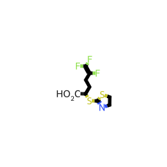 O=C(O)C(CCC(F)=C(F)F)SC1=NCCS1